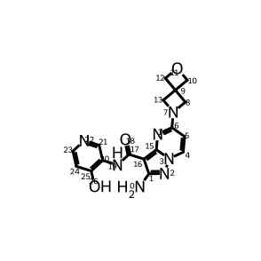 Nc1nn2ccc(N3CC4(COC4)C3)nc2c1C(=O)Nc1cnccc1O